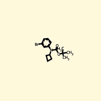 CC(C)(C)OC(=O)N(c1cccc(Br)c1)C1CCC1